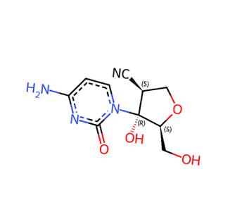 N#C[C@H]1CO[C@@H](CO)[C@@]1(O)n1ccc(N)nc1=O